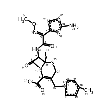 CON=C(C(=O)NC1C(=O)N2C(C(=O)[O-])=C(C[n+]3ccc(C)cc3)CS[C@@H]12)c1nsc(N)n1